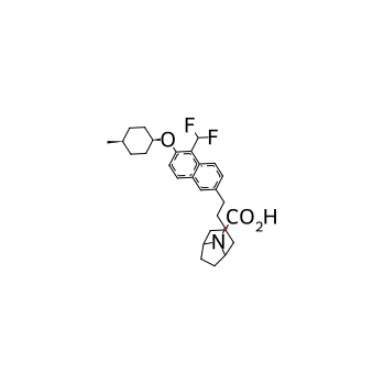 C[C@H]1CC[C@@H](Oc2ccc3cc(CCCN4C5CCC4CC(C(=O)O)C5)ccc3c2C(F)F)CC1